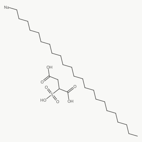 CCCCCCCCCCCCCCCCCCCCCC[CH2][Na].O=C(O)CC(C(=O)O)S(=O)(=O)O